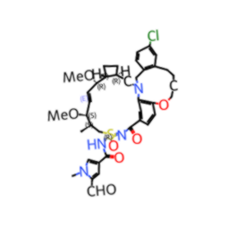 CO[C@H]1/C=C/[C@H](OC)[C@H](C)C[S@@](=O)(NC(=O)c2cc(C=O)n(C)c2)=NC(=O)c2ccc3c(c2)N(Cc2ccc(Cl)cc2CCCCO3)C[C@@H]2CC[C@H]21